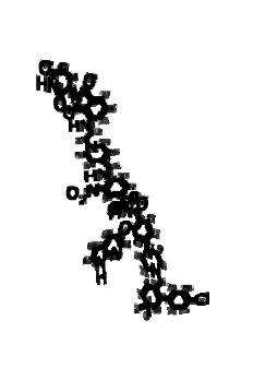 CC1(C)CCC(CN2CCN(c3ccc(C(=O)NS(=O)(=O)c4ccc(NCC5CCN(CCNc6cccc7c6C(=O)N(C6CCC(=O)NC6=O)C7=O)CC5)c([N+](=O)[O-])c4)c(Oc4cnc5[nH]ccc5c4)c3)CC2)=C(c2ccc(Cl)cc2)C1